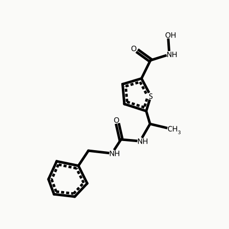 CC(NC(=O)NCc1ccccc1)c1ccc(C(=O)NO)s1